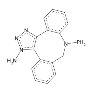 Nn1nnc2c1-c1ccccc1CN(P)c1ccccc1-2